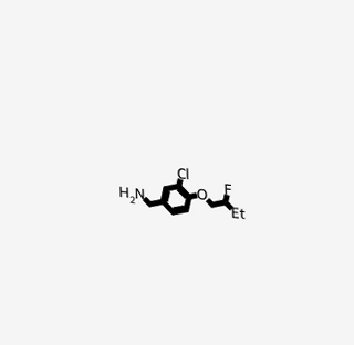 CCC(F)COc1ccc(CN)cc1Cl